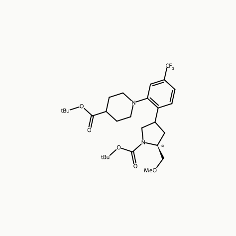 COC[C@@H]1CC(c2ccc(C(F)(F)F)cc2N2CCC(C(=O)OC(C)(C)C)CC2)CN1C(=O)OC(C)(C)C